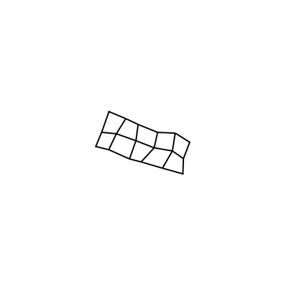 C1C2CC3C4C5C6CC7CC8C9C%10C1C23C%104C95C786